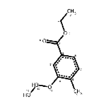 CCOC(=O)c1ccc(C)c(OBO)c1